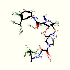 CC(NC(=O)C(=O)N1CC[C@]2(COc3c(c(Cl)n(C)c3C(=O)Nc3ccc(F)c(C(F)F)c3)SN2)C1)C(F)(F)F